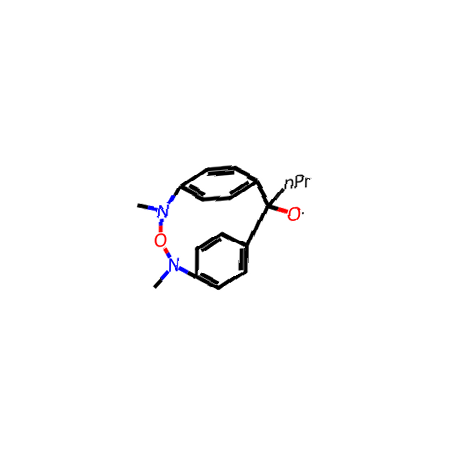 CCCC1([O])c2ccc(cc2)N(C)ON(C)c2ccc1cc2